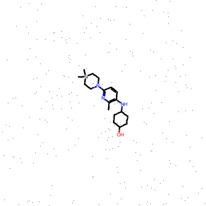 Cc1nc(N2CC[Si](C)(C)CC2)ccc1NC1CCC(O)CC1